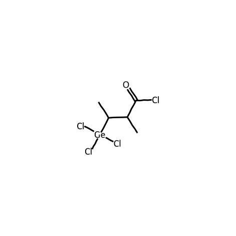 CC(C(=O)Cl)[CH](C)[Ge]([Cl])([Cl])[Cl]